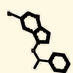 CC(On1ccc2ncc(Br)cc21)c1ccccc1